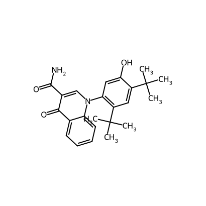 CC(C)(C)c1cc(C(C)(C)C)c(-n2cc(C(N)=O)c(=O)c3ccccc32)cc1O